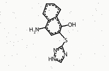 Nc1cc(Sc2nc[nH]n2)c(O)c2ccccc12